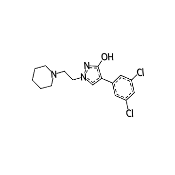 Oc1nn(CCN2CCCCC2)cc1-c1cc(Cl)cc(Cl)c1